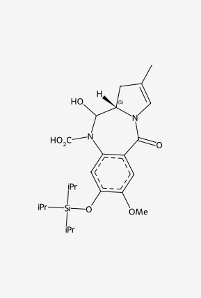 COc1cc2c(cc1O[Si](C(C)C)(C(C)C)C(C)C)N(C(=O)O)C(O)[C@@H]1CC(C)=CN1C2=O